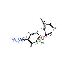 Cc1cccc(Oc2ccc(N)cc2)c1.Cl